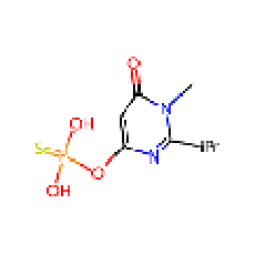 CC(C)c1nc(OP(O)(O)=S)cc(=O)n1C